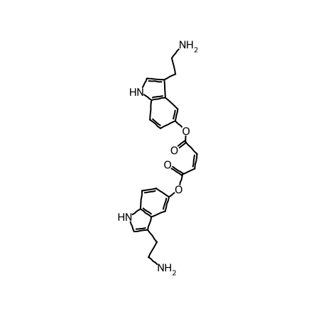 NCCc1c[nH]c2ccc(OC(=O)/C=C\C(=O)Oc3ccc4[nH]cc(CCN)c4c3)cc12